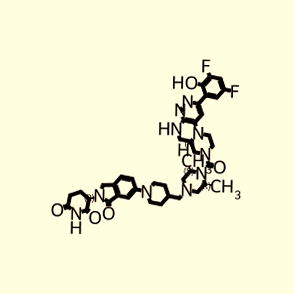 C[C@@H]1CN(CC2CCN(c3ccc4c(c3)C(=O)N([C@@H]3CCC(=O)NC3=O)C4)CC2)C[C@H](C)N1C(=O)N1CCN2c3cc(-c4cc(F)cc(F)c4O)nnc3NC[C@@H]2C1